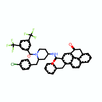 O=C(NC1CCN(C(=O)c2cc(C(F)(F)F)cc(C(F)(F)F)c2)C(Cc2ccc(Cl)cc2)C1)c1cc2c3c(ccc4cccc(c43)CC2=O)c1Cc1ccccc1